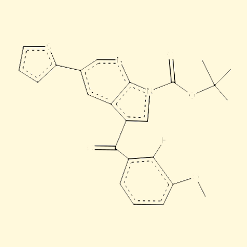 COc1cccc(C(=O)c2cn(C(=O)OC(C)(C)C)c3ncc(-c4cccs4)cc23)c1F